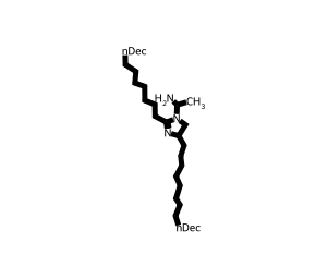 CCCCCCCCCCCCCCCCCCC1CN(C(C)N)C(CCCCCCCCCCCCCCCCC)=N1